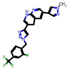 Cn1cc(-c2cnc3c(c2)CC(c2cn(Cc4ccc(C(F)(F)F)cc4F)nn2)=CN3)cn1